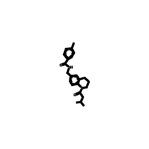 Cc1ccc(C(=O)NCc2ccc3c(c2)CCCN3C(=O)CC(C)C)cc1